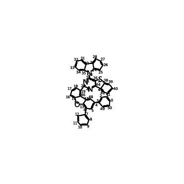 c1ccc(-c2cc(-c3ccccc3)c3oc4cccc(-c5nc(-n6c7ccccc7c7ccccc76)c6sc7ccccc7c6n5)c4c3c2)cc1